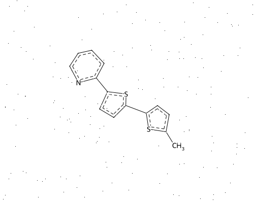 Cc1ccc(-c2ccc(-c3ccccn3)s2)s1